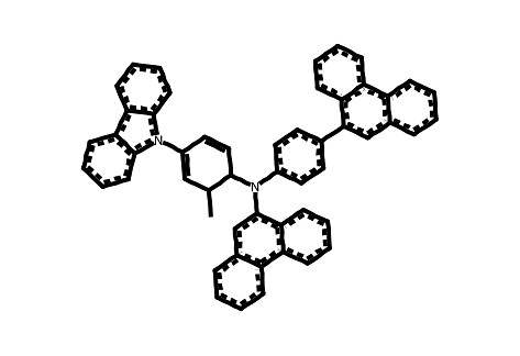 CC1C=C(n2c3ccccc3c3ccccc32)C=CC1N(c1ccc(-c2cc3ccccc3c3ccccc23)cc1)c1cc2ccccc2c2ccccc12